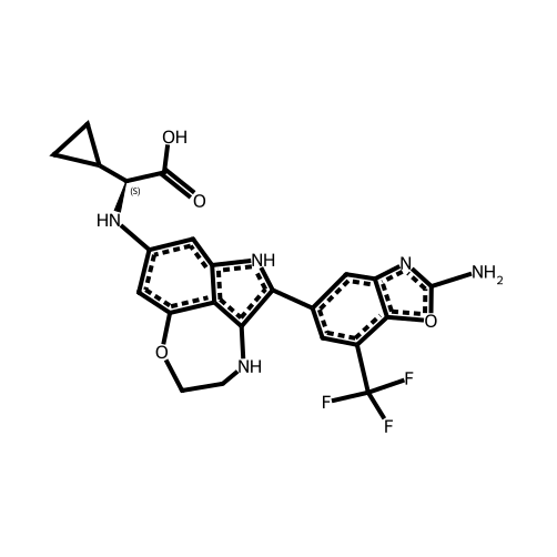 Nc1nc2cc(-c3[nH]c4cc(N[C@H](C(=O)O)C5CC5)cc5c4c3NCCO5)cc(C(F)(F)F)c2o1